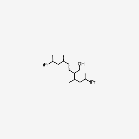 CC(CCC(CO)C(C)CC(C)C(C)C)CC(C)C(C)C